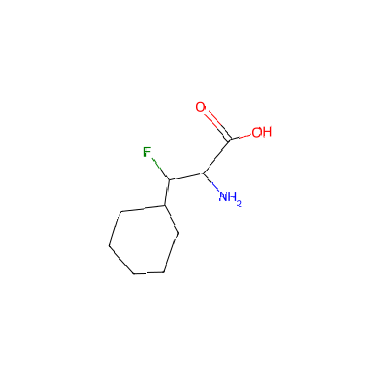 NC(C(=O)O)C(F)C1CCCCC1